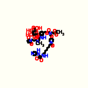 CN(CC(=O)Nc1cc(COC(=O)N(CCS(C)(=O)=O)COC2CCN(C(=O)CCCCCCCNc3c(Nc4ccncc4)c(=O)c3=O)CC2)ccc1O[C@@H]1O[C@H](C(=O)O)[C@@H](O)[C@H](O)[C@H]1O)C(=O)CCN1C(=O)C=CC1=O